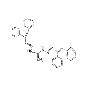 C=C(N/N=C/C(=C/c1ccccc1)c1ccccc1)N/N=C/C(=C/c1ccccc1)c1ccccc1